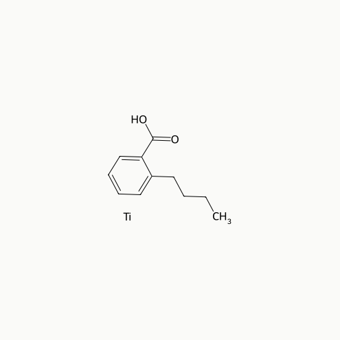 CCCCc1ccccc1C(=O)O.[Ti]